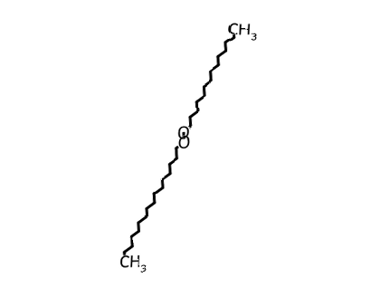 CCCCCCCCCCCCCCCCOOCCCCCCCCCCCCCC